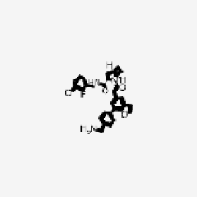 NCc1ccc(-c2cc(CC(=O)N3[C@@H]4CC[C@@H]4C[C@H]3C(=O)NCc3cccc(Cl)c3F)cc3ccoc23)cc1